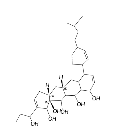 CCC(O)C1=CC[C@@H]2C[C@@H]3CC4C(C5C=CC(CCC(C)C)CC5)C=CC(O)C4C(O)C3C(O)[C@]2(O)C1O